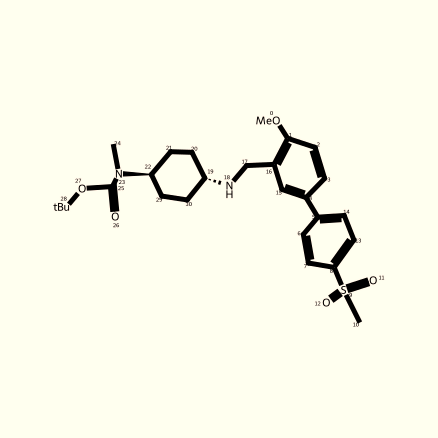 COc1ccc(-c2ccc(S(C)(=O)=O)cc2)cc1CN[C@H]1CC[C@H](N(C)C(=O)OC(C)(C)C)CC1